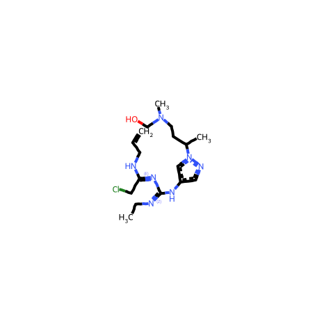 C=CCN/C(CCl)=N/C(=N\CC)Nc1cnn(C(C)CCN(C)CO)c1